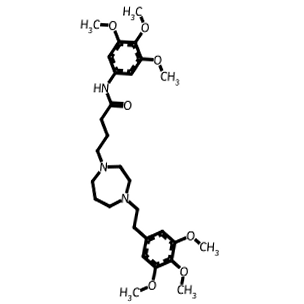 COc1cc(CCN2CCCN(CCCC(=O)Nc3cc(OC)c(OC)c(OC)c3)CC2)cc(OC)c1OC